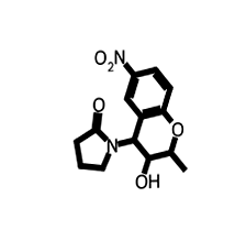 CC1Oc2ccc([N+](=O)[O-])cc2C(N2CCCC2=O)C1O